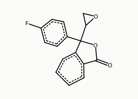 O=C1OC(c2ccc(F)cc2)(C2CO2)c2ccccc21